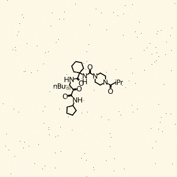 CCCC[C@H](NC(=O)C1(NC(=O)N2CCN(C(=O)C(C)C)CC2)CCCCC1)C(=O)C(=O)NC1CCCC1